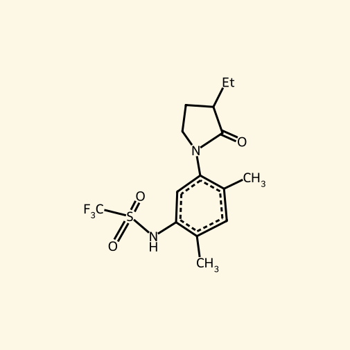 CCC1CCN(c2cc(NS(=O)(=O)C(F)(F)F)c(C)cc2C)C1=O